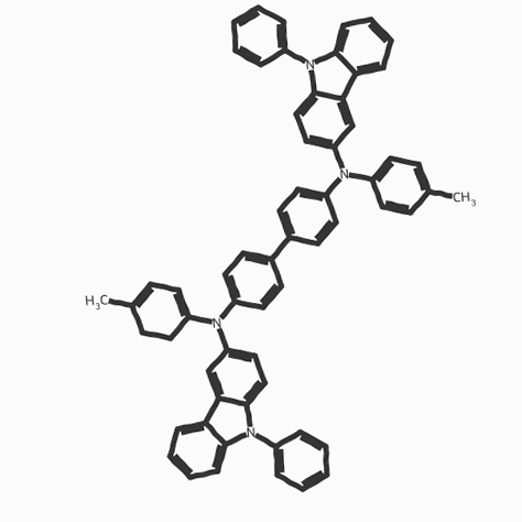 CC1=CC=C(N(c2ccc(-c3ccc(N(c4ccc(C)cc4)c4ccc5c(c4)c4ccccc4n5-c4ccccc4)cc3)cc2)c2ccc3c(c2)c2ccccc2n3-c2ccccc2)CC1